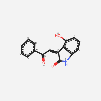 O=C1Nc2cccc(O)c2C1=CC(=O)c1ccccc1